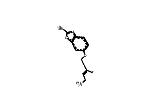 CC(C)(C)c1nc2cc(OCC(F)=CCN)ccc2s1